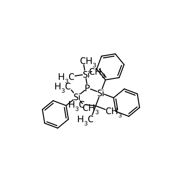 CC(C)(C)[Si](c1ccccc1)(c1ccccc1)P([Si](C)(C)C)[Si](C)(C)c1ccccc1